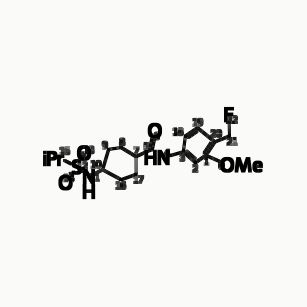 COc1cc(NC(=O)C2CCC(NS(=O)(=O)C(C)C)CC2)ccc1CF